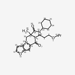 CC(C)OCCCN1C(=O)c2cc3occc3n2CC1(C)C(=O)NC1CCCCC1